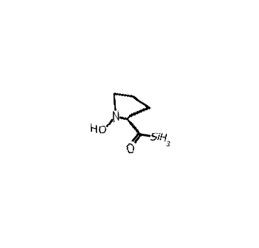 O=C([SiH3])C1CCCN1O